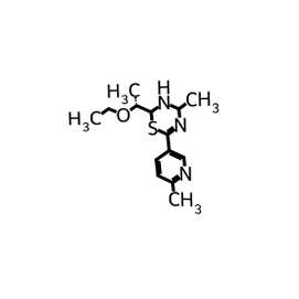 CCO[C@H](C)C1NC(C)N=C(c2ccc(C)nc2)S1